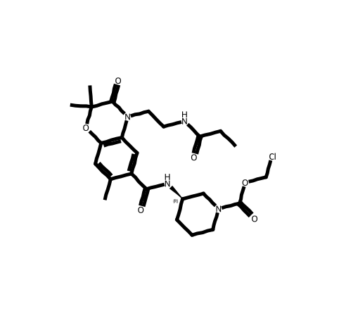 CCC(=O)NCCN1C(=O)C(C)(C)Oc2cc(C)c(C(=O)N[C@@H]3CCCN(C(=O)OCCl)C3)cc21